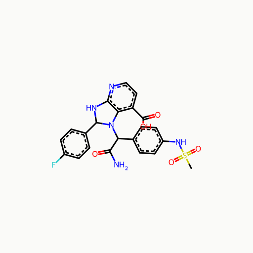 CS(=O)(=O)Nc1ccc(C(C(N)=O)N2c3c(C(=O)O)ccnc3NC2c2ccc(F)cc2)cc1